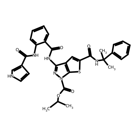 CC(C)OC(=O)n1nc(NC(=O)c2ccccc2NC(=O)c2cc[nH]c2)c2cc(C(=O)NC(C)(C)c3ccccc3)sc21